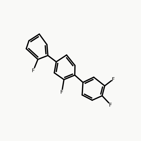 Fc1ccc(-c2ccc(-c3ccccc3F)cc2F)cc1F